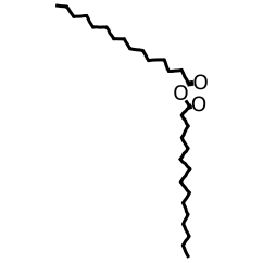 CCCCCCCCCCCCCCC(=O)OC(=O)CCCCCCCCCCCCCC